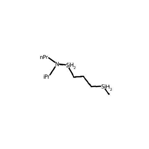 CCCN([SiH2]CCC[SiH2]C)C(C)C